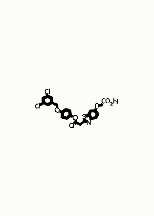 O=C(O)COc1ccc2nc(CC(=O)Oc3ccc(OCc4cc(Cl)cc(Cl)c4)cc3)sc2c1